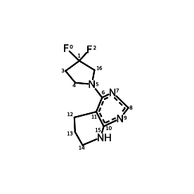 FC1(F)CCN(c2ncnc3c2CCCN3)C1